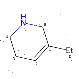 CCC1=CCCNC1